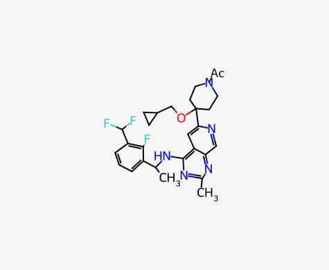 CC(=O)N1CCC(OCC2CC2)(c2cc3c(NC(C)c4cccc(C(F)F)c4F)nc(C)nc3cn2)CC1